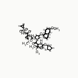 C=C[C@@H]1CC1(NC(=O)[C@@H]1CC(Oc2nccc3cc(OC)ccc23)CN1C(=O)[C@@H](NC(=O)OC1CCCC1)C(C)(C)C)C(=O)NS(=O)(=O)C1CC1